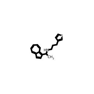 CC(NCCCc1ccsc1)c1ccc2cccccc1-2